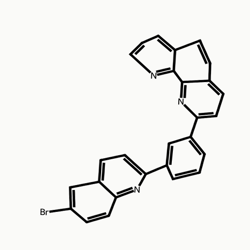 Brc1ccc2nc(-c3cccc(-c4ccc5ccc6cccnc6c5n4)c3)ccc2c1